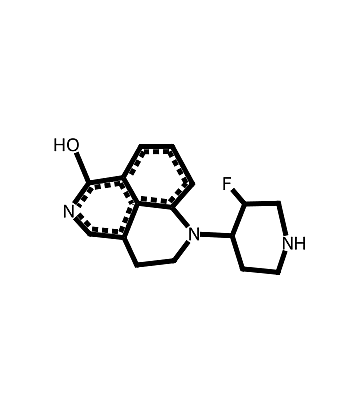 Oc1ncc2c3c(cccc13)N(C1CCNCC1F)CC2